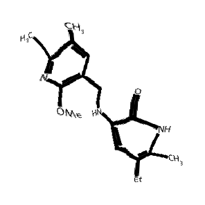 CCc1cc(NCc2cc(C)c(C)nc2OC)c(=O)[nH]c1C